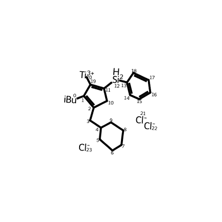 CCC(C)C1=C(CC2CCCCC2)CC([SiH2]c2ccccc2)=[C]1[Ti+3].[Cl-].[Cl-].[Cl-]